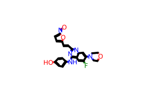 O=Nc1ccc(/C=C/c2nc(Nc3ccc(O)cc3)c3cc(F)c(N4CCOCC4)cc3n2)o1